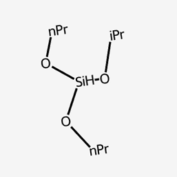 CCCO[SiH](OCCC)OC(C)C